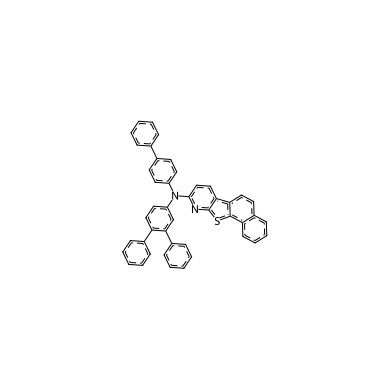 c1ccc(-c2ccc(N(c3ccc(-c4ccccc4)c(-c4ccccc4)c3)c3ccc4c(n3)sc3c5ccccc5ccc43)cc2)cc1